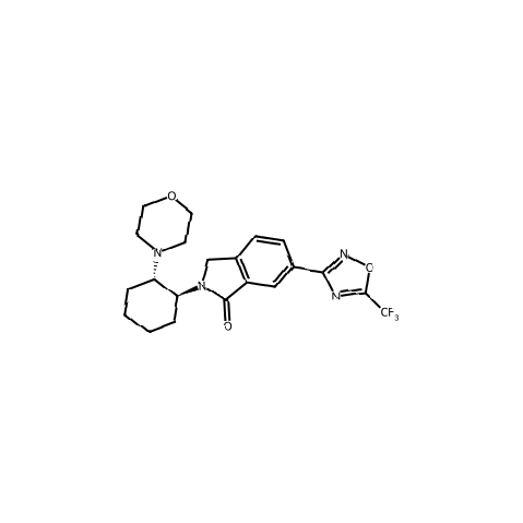 O=C1c2cc(-c3noc(C(F)(F)F)n3)ccc2CN1[C@H]1CCCC[C@@H]1N1CCOCC1